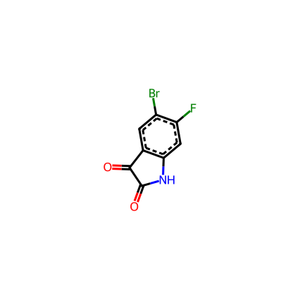 O=C1Nc2cc(F)c(Br)cc2C1=O